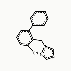 N#Cc1cccc(-c2ccccc2)c1Cn1cncn1